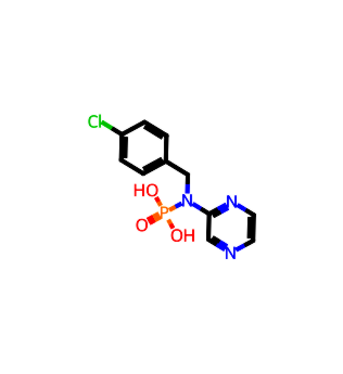 O=P(O)(O)N(Cc1ccc(Cl)cc1)c1cnccn1